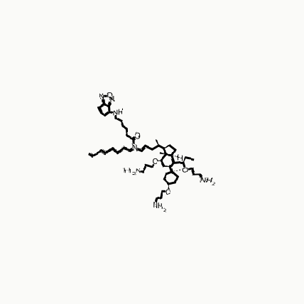 CCCCCCCCN(CCC[C@@H](C)[C@H]1CC[C@H]2C([C@@H](CC)OCCCN)[C@@H]([C@]3(C)CC[C@H](OCCCN)CC3)C[C@H](OCCCN)[C@]12C)C(=O)CCCCCNc1cccc2nonc12